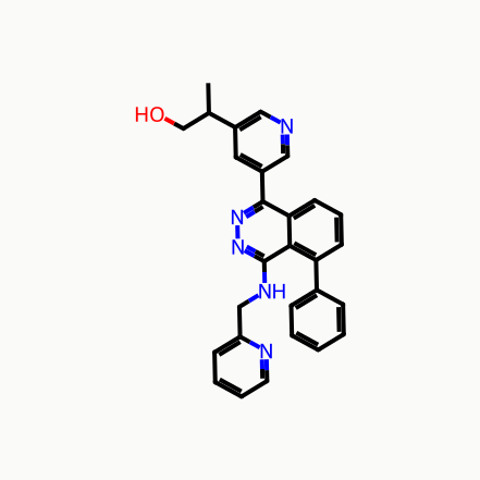 CC(CO)c1cncc(-c2nnc(NCc3ccccn3)c3c(-c4ccccc4)cccc23)c1